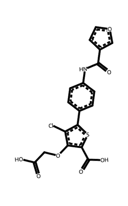 O=C(O)COc1c(C(=O)O)sc(-c2ccc(NC(=O)c3ccoc3)cc2)c1Cl